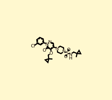 CC1(CNS(=O)(=O)N2CCN(c3cnn(-c4cccc(Cl)c4)c(=O)c3OCC3(C)CC3)CC2)CC1